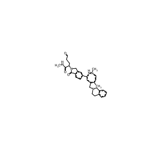 CNC(=O)C(CCC=O)N1Cc2cc(-c3cc(CN4CCc5ccccc5C4)c(C)ccn(C)[nH]3)ccc2C1=O